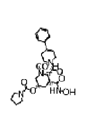 O=C(NO)[C@H]1C[C@H](OC(=O)N2CCCC2)CN(C(=O)O)[C@@H]1C(=O)N1CC=C(c2ccccc2)CC1